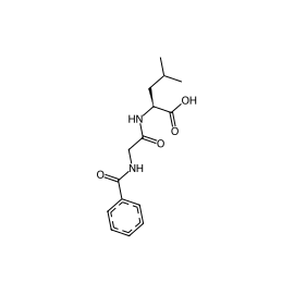 CC(C)C[C@H](NC(=O)CNC(=O)c1ccccc1)C(=O)O